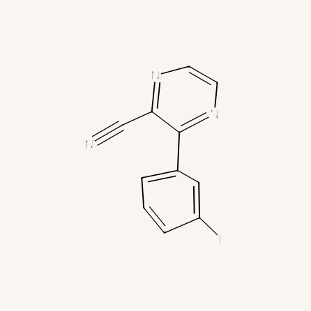 N#Cc1nccnc1-c1cccc(F)c1